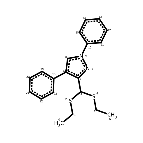 CCSC(SCC)c1nn(-c2ccccc2)cc1-c1ccccc1